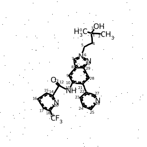 CC(C)(O)CCn1cc2cc(NC(=O)c3cccc(C(F)(F)F)n3)c(-c3cccnc3)cc2n1